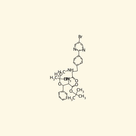 CNC(Cc1ccc(-c2ncc(Br)cn2)cc1)C(=O)NC(C(=O)OC(C)(C)C)C(OC(C)(C)C)c1ccccc1